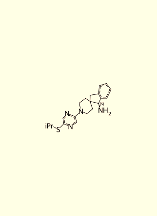 CC(C)Sc1cnc(N2CCC3(CC2)Cc2ccccc2[C@H]3N)cn1